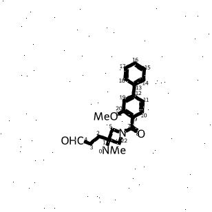 CNC1(CCC=O)CN(C(=O)c2ccc(-c3ccccc3)cc2OC)C1